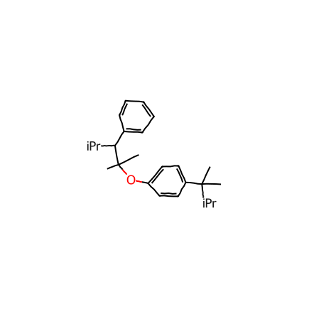 CC(C)C(c1ccccc1)C(C)(C)Oc1ccc(C(C)(C)C(C)C)cc1